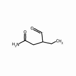 CCC([C]=O)CC(N)=O